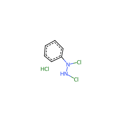 Cl.ClNN(Cl)c1ccccc1